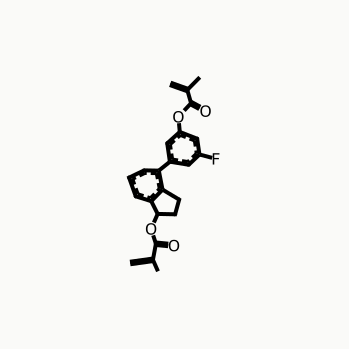 C=C(C)C(=O)Oc1cc(F)cc(-c2cccc3c2CCC3OC(=O)C(=C)C)c1